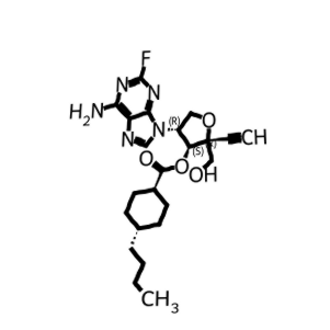 C#C[C@]1(CO)OC[C@@H](n2cnc3c(N)nc(F)nc32)[C@@H]1OC(=O)[C@H]1CC[C@H](CCCC)CC1